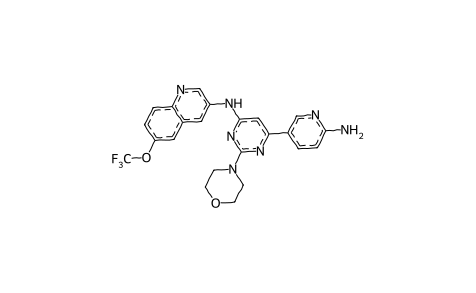 Nc1ccc(-c2cc(Nc3cnc4ccc(OC(F)(F)F)cc4c3)nc(N3CCOCC3)n2)cn1